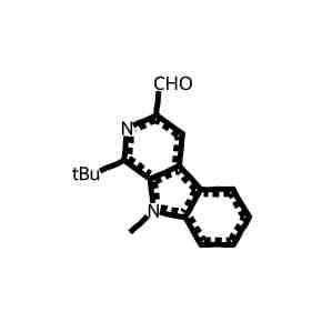 Cn1c2ccccc2c2cc(C=O)nc(C(C)(C)C)c21